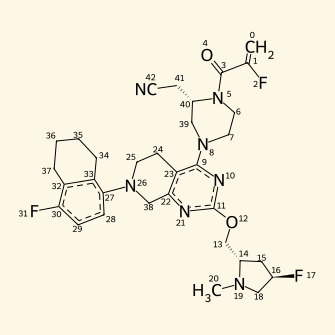 C=C(F)C(=O)N1CCN(c2nc(OC[C@@H]3C[C@@H](F)CN3C)nc3c2CCN(c2ccc(F)c4c2CCCC4)C3)C[C@@H]1CC#N